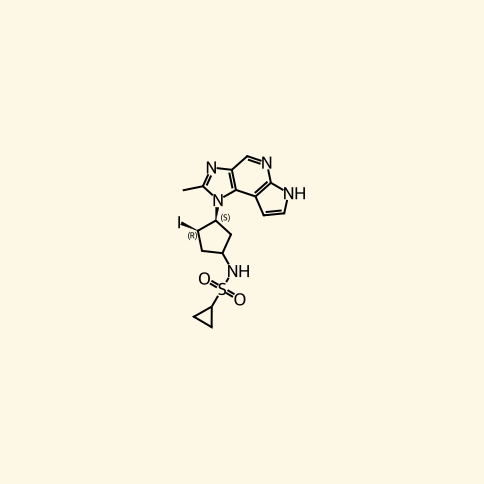 Cc1nc2cnc3[nH]ccc3c2n1[C@H]1CC(NS(=O)(=O)C2CC2)C[C@H]1I